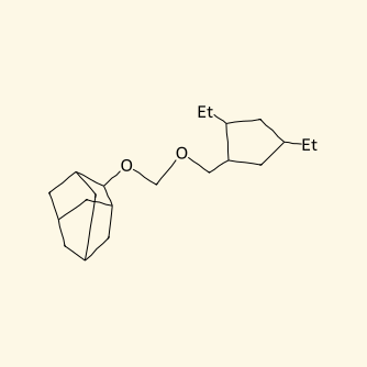 CCC1CC(CC)C(COCOC2C3CC4CC(C3)CC2C4)C1